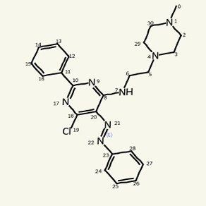 CN1CCN(CCNc2nc(-c3ccccc3)nc(Cl)c2/N=N/c2ccccc2)CC1